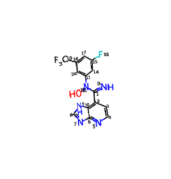 N=C(c1ccnc2nc[nH]c12)N(O)c1cc(F)cc(C(F)(F)F)c1